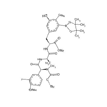 COC(=O)[C@H](Cc1cc(O)c(OC)c(B2OC(C)(C)C(C)(C)O2)c1)NC(=O)[C@@H](C)NC(=O)[C@H](c1ccc(OC)c(I)c1)N(C)C(=O)OC(C)(C)C